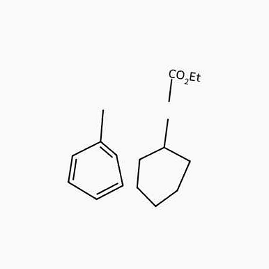 CC1CCCCC1.CCOC(C)=O.Cc1ccccc1